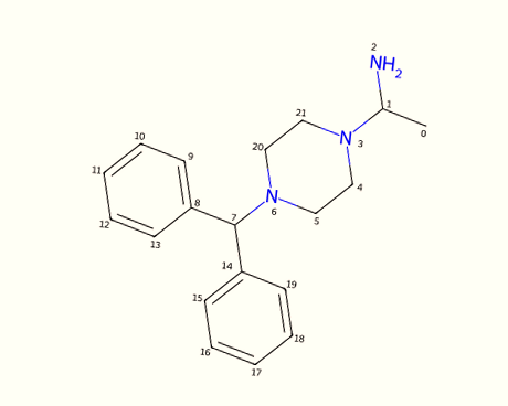 CC(N)N1CCN(C(c2ccccc2)c2ccccc2)CC1